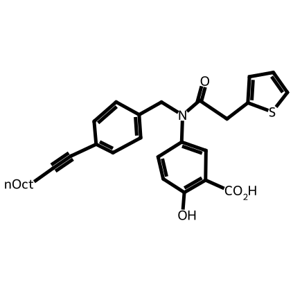 CCCCCCCCC#Cc1ccc(CN(C(=O)Cc2cccs2)c2ccc(O)c(C(=O)O)c2)cc1